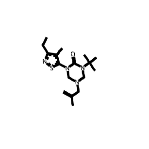 C=C(C)CN1CN(c2snc(CC)c2C)C(=O)N(C(C)(C)C)C1